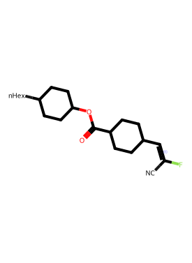 CCCCCCC1CCC(OC(=O)C2CCC(/C=C(/F)C#N)CC2)CC1